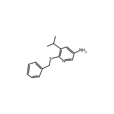 CC(C)c1cc(N)cnc1SCc1ccccc1